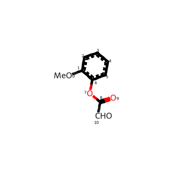 COc1ccccc1OC(=O)C=O